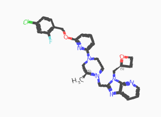 C[C@H]1CN(c2cccc(OCc3ccc(Cl)cc3F)n2)CCN1Cc1nc2cccnc2n1C[C@@H]1CCO1